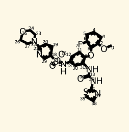 COc1cccc(F)c1Oc1ccc(NS(=O)(=O)c2ccc(N3CCOCC3)nc2)cc1NC(=O)Nc1nccs1